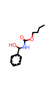 CCCCOC(=O)NC(O)c1ccccc1